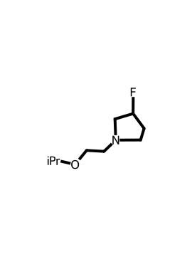 CC(C)OCCN1CCC(F)C1